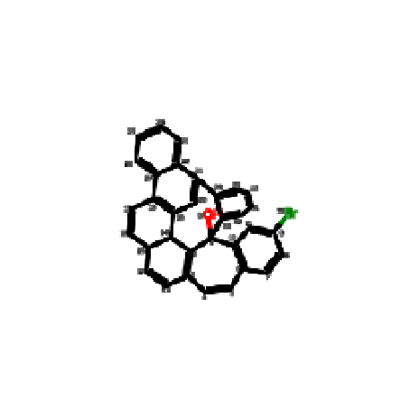 OC12C3=C(C=Cc4ccc(Br)cc41)C=CC1C=Cc4c(cc(c5ccccc45)-c4ccccc42)C31